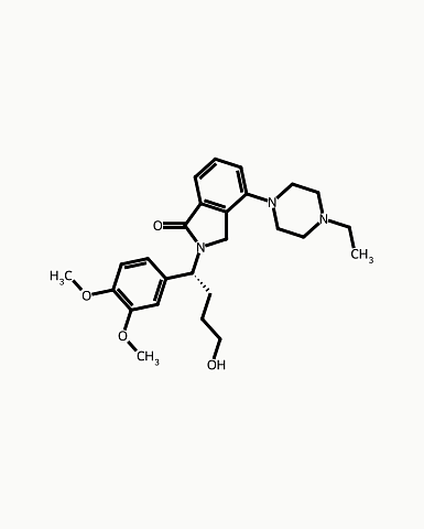 CCN1CCN(c2cccc3c2CN([C@H](CCCO)c2ccc(OC)c(OC)c2)C3=O)CC1